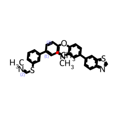 CC/C=C(\C=C/C1=CN(C)c2cc(-c3ccc4ncsc4c3)ccc2O1)c1cccc(S/C=N\C)c1